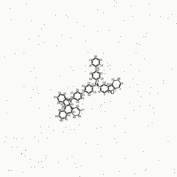 C1=Cc2oc3ccc(N(c4ccc(-c5ccccc5)cc4)c4ccc(-c5ccc(-n6c7ccccc7c7c8ccccc8c8c(c76)C=CCC8)cc5)cc4)cc3c2CC1